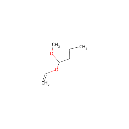 C=COC(CCC)OC